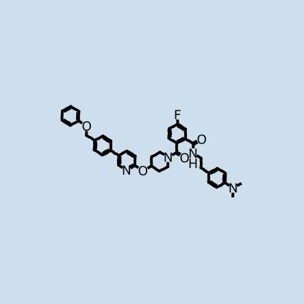 CN(C)c1ccc(CCNC(=O)c2cc(F)ccc2C(=O)N2CCC(Oc3ccc(-c4ccc(COc5ccccc5)cc4)cn3)CC2)cc1